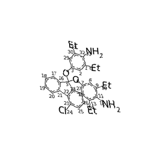 CCc1cc(OC2(Oc3cc(CC)c(N)c(CC)c3)c3ccccc3-c3c(Cl)cccc32)cc(CC)c1N